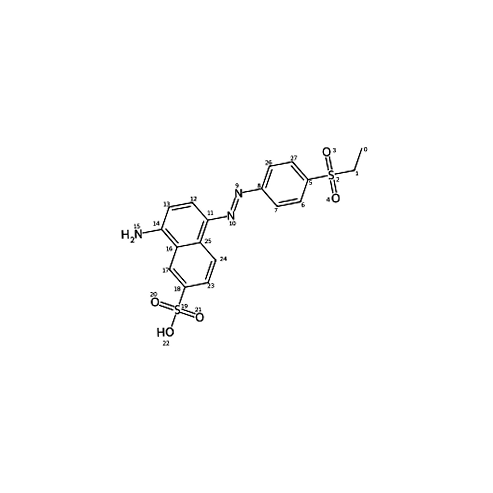 CCS(=O)(=O)c1ccc(/N=N/c2ccc(N)c3cc(S(=O)(=O)O)ccc23)cc1